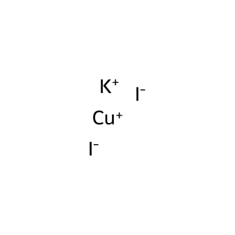 [Cu+].[I-].[I-].[K+]